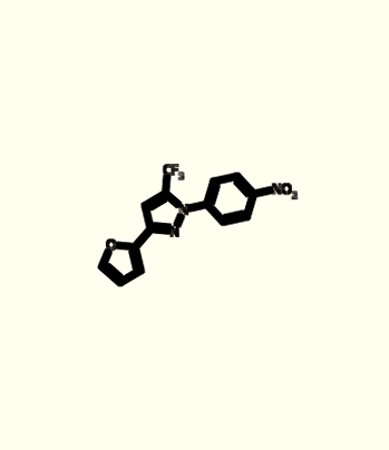 O=[N+]([O-])c1ccc(-n2nc(-c3ccco3)cc2C(F)(F)F)cc1